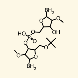 BC1OC(COP(=O)(O)OC2C(COC(C)(C)C)OC(B)C2OC)C(O)C1OC